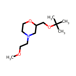 COCCN1CCOC(COC(C)(C)C)C1